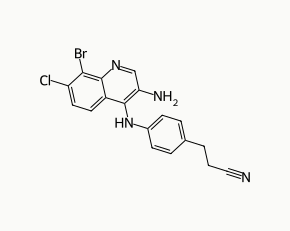 N#CCCc1ccc(Nc2c(N)cnc3c(Br)c(Cl)ccc23)cc1